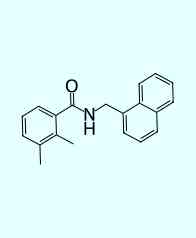 Cc1cccc(C(=O)NCc2cccc3ccccc23)c1C